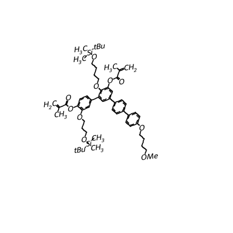 C=C(C)C(=O)Oc1ccc(-c2cc(-c3ccc(-c4ccc(OCCCCOC)cc4)cc3)cc(OC(=O)C(=C)C)c2OCCCCO[Si](C)(C)C(C)(C)C)cc1OCCCO[Si](C)(C)C(C)(C)C